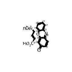 CCCCCCCCCCCCCC(=O)O.O=c1ccc2nc3ccccc3oc-2c1